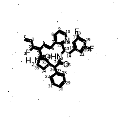 C=C/C(F)=C(\C=C\c1cccnc1[C@H](Cc1cc(F)cc(F)c1)NC(=O)C(c1ccccc1)C1CCCC1)C(N)=O